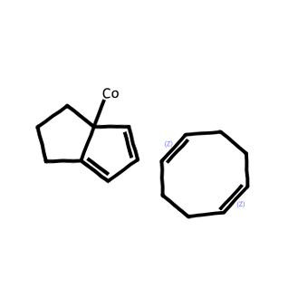 C1=C\CC/C=C\CC/1.[Co][C]12C=CC=C1CCC2